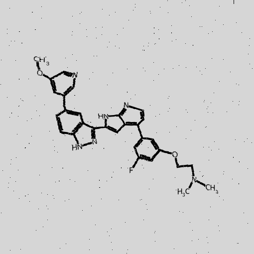 COc1cncc(-c2ccc3[nH]nc(-c4cc5c(-c6cc(F)cc(OCCN(C)C)c6)ccnc5[nH]4)c3c2)c1